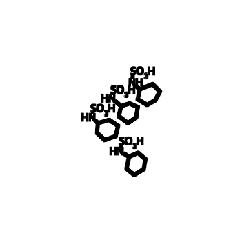 O=S(=O)(O)NC1CCCCC1.O=S(=O)(O)NC1CCCCC1.O=S(=O)(O)NC1CCCCC1.O=S(=O)(O)NC1CCCCC1